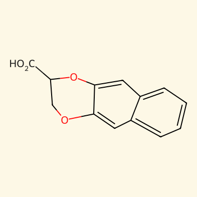 O=C(O)C1COc2cc3ccccc3cc2O1